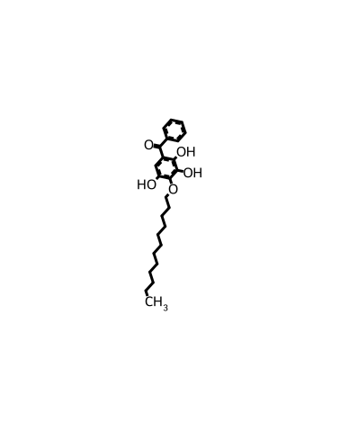 CCCCCCCCCCCCOc1c(O)cc(C(=O)c2ccccc2)c(O)c1O